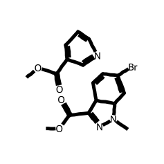 COC(=O)C1=NN(C)C2C=C(Br)C=CC12.COC(=O)c1cccnc1